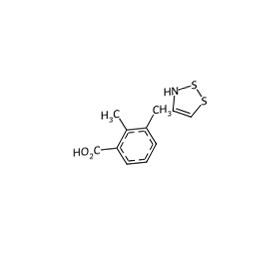 C1=CSSN1.Cc1cccc(C(=O)O)c1C